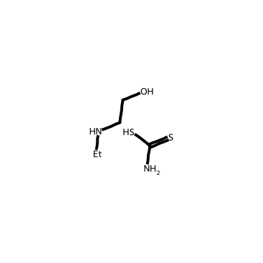 CCNCCO.NC(=S)S